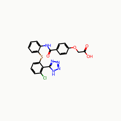 O=C(O)COc1ccc(C(=O)Nc2ccccc2Sc2cccc(Cl)c2-c2nnn[nH]2)cc1